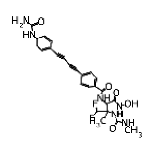 CNC(=O)NC(C)(C(F)F)C(NC(=O)c1ccc(C#CC#Cc2ccc(NC(N)=O)cc2)cc1)C(=O)NO